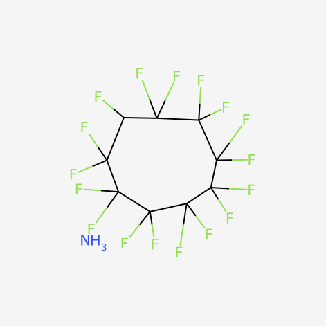 FC1C(F)(F)C(F)(F)C(F)(F)C(F)(F)C(F)(F)C(F)(F)C(F)(F)C1(F)F.N